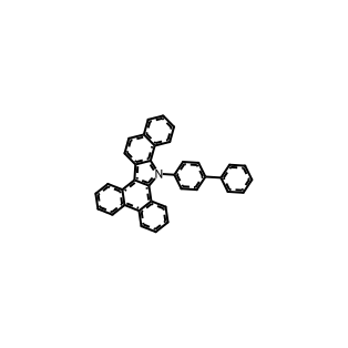 c1ccc(-c2ccc(-n3c4c5ccccc5ccc4c4c5ccccc5c5ccccc5c43)cc2)cc1